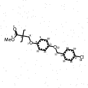 COC(=O)C(C)(C)COc1ccc(OCc2ccc(Cl)cc2)cc1